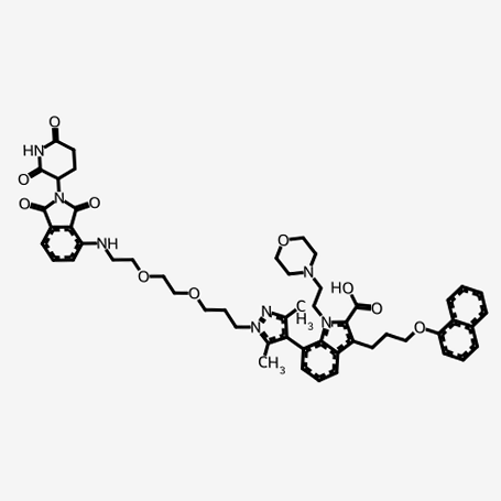 Cc1nn(CCCOCCOCCNc2cccc3c2C(=O)N(C2CCC(=O)NC2=O)C3=O)c(C)c1-c1cccc2c(CCCOc3cccc4ccccc34)c(C(=O)O)n(CCN3CCOCC3)c12